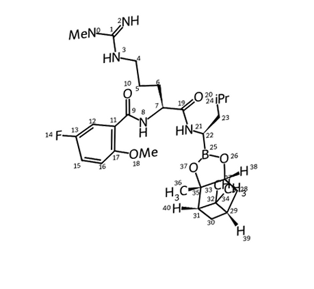 CNC(=N)NCCC[C@H](NC(=O)c1cc(F)ccc1OC)C(=O)N[C@@H](CC(C)C)B1O[C@@H]2C[C@@H]3C[C@@H](C3(C)C)[C@]2(C)O1